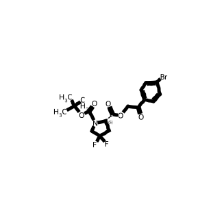 CC(C)(C)OC(=O)N1CC(F)(F)C[C@H]1C(=O)OCC(=O)c1ccc(Br)cc1